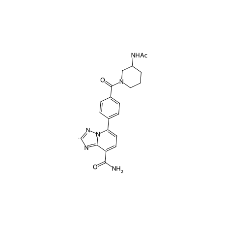 CC(=O)NC1CCCN(C(=O)c2ccc(-c3ccc(C(N)=O)c4n[c]nn34)cc2)C1